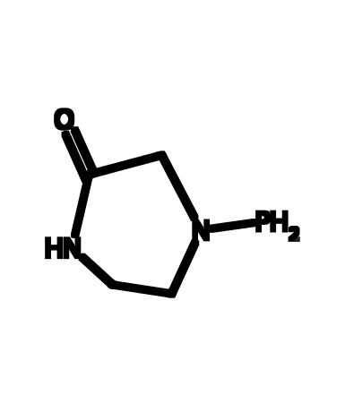 O=C1CN(P)CCN1